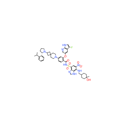 CC(C)c1ccccc1[C@@H]1CCCN1C1CC2(CCN(c3ccc(C(=O)NS(=O)(=O)c4cc([N+](=O)[O-])c(NCC5CCC(C)(O)CC5)c5[nH]cnc45)c(Oc4cnc5[nH]cc(F)c5c4)c3)CC2)C1